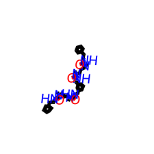 CN(CCCN(C)C(=O)NCc1cccc(CNC(=O)N(C)CCCN(C)C(=O)NCCc2ccccc2)c1)C(=O)NCCc1ccccc1